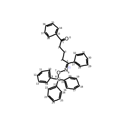 O=C(CCC/C(=N\O[Si](c1ccccc1)(c1ccccc1)c1ccccc1)c1ccccc1)c1ccccc1